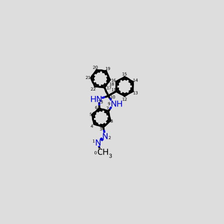 CN=Nc1ccc2c(c1)NC(c1ccccc1)(c1ccccc1)N2